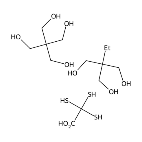 CCC(CO)(CO)CO.O=C(O)C(S)(S)S.OCC(CO)(CO)CO